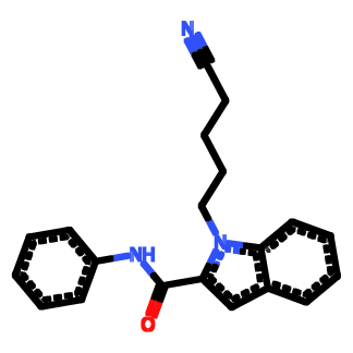 N#CCCCCn1c(C(=O)Nc2ccccc2)cc2ccccc21